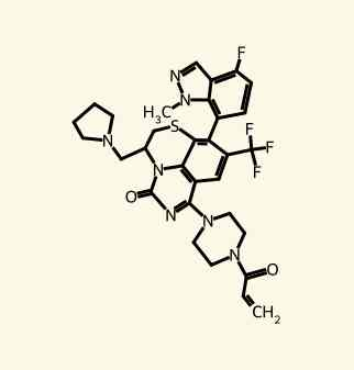 C=CC(=O)N1CCN(c2nc(=O)n3c4c(c(-c5ccc(F)c6cnn(C)c56)c(C(F)(F)F)cc24)SCC3CN2CCCC2)CC1